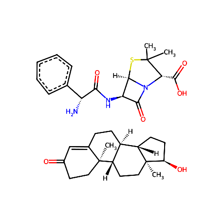 CC1(C)S[C@@H]2[C@H](NC(=O)[C@H](N)c3ccccc3)C(=O)N2[C@H]1C(=O)O.C[C@]12CC[C@H]3[C@@H](CCC4=CC(=O)CC[C@@]43C)[C@@H]1CC[C@H]2O